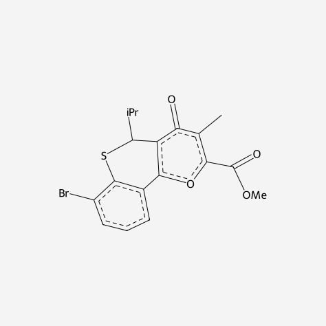 COC(=O)c1oc2c(c(=O)c1C)C(C(C)C)Sc1c(Br)cccc1-2